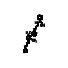 Cc1c(OCCCNC(CO)c2ccccc2)cccc1-c1cccc(OCCCN2CCCC2)c1C